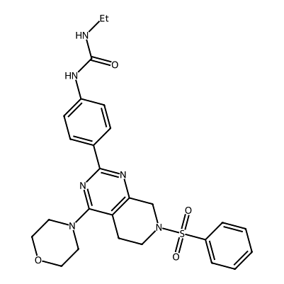 CCNC(=O)Nc1ccc(-c2nc3c(c(N4CCOCC4)n2)CCN(S(=O)(=O)c2ccccc2)C3)cc1